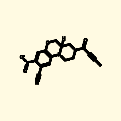 CC#CC(=O)N1CCN2c3cc(C#N)c([N+](=O)[O-])cc3OC[C@@H]2C1